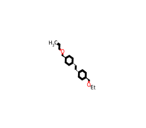 C=CCOC[C@H]1CC[C@H](CC[C@H]2CC[C@H](COCC)CC2)CC1